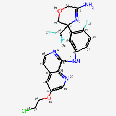 NC1=NC(c2cc(Nc3nccc4cc(OCCCl)cnc34)ccc2F)(C(F)F)COC1